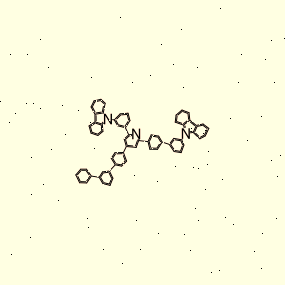 c1ccc(-c2cccc(-c3ccc(-c4cc(-c5ccc(-c6cccc(-n7c8ccccc8c8ccccc87)c6)cc5)nc(-c5cccc(-n6c7ccccc7c7ccccc76)c5)c4)cc3)c2)cc1